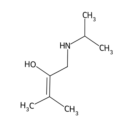 CC(C)=C(O)CNC(C)C